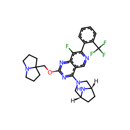 Fc1c(-c2ccccc2C(F)(F)F)ncc2c(N3C[C@H]4CC[C@@H](C3)N4)nc(OCC34CCCN3CCC4)nc12